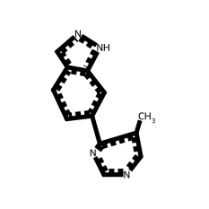 Cc1cncnc1-c1ccc2cn[nH]c2c1